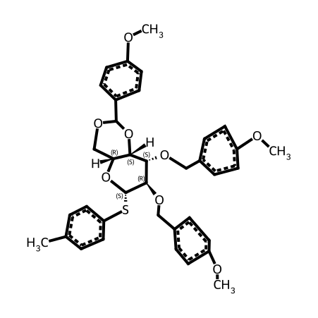 COc1ccc(CO[C@H]2[C@H]3OC(c4ccc(OC)cc4)OC[C@H]3O[C@@H](Sc3ccc(C)cc3)[C@@H]2OCc2ccc(OC)cc2)cc1